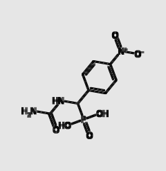 NC(=O)NC(c1ccc([N+](=O)[O-])cc1)P(=O)(O)O